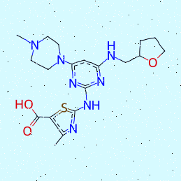 Cc1nc(Nc2nc(NCC3CCCO3)cc(N3CCN(C)CC3)n2)sc1C(=O)O